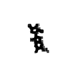 Cc1cc2[nH]c(N3CC(=O)N(C)C3=O)cc2nc1N